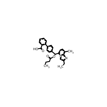 CCCC(=O)OC(c1ccc(-c2ccccc2C(=O)O)cc1)c1ccc(C)c2nc(CC)cn12